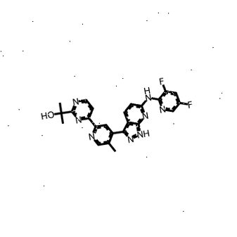 Cc1cnc(-c2ccnc(C(C)(C)O)n2)cc1-c1n[nH]c2nc(Nc3ncc(F)cc3F)ccc12